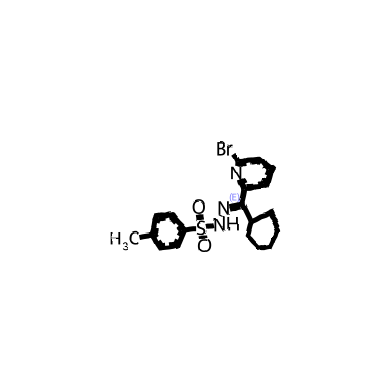 Cc1ccc(S(=O)(=O)N/N=C(/c2cccc(Br)n2)C2CCCCC2)cc1